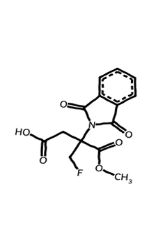 COC(=O)C(CF)(CC(=O)O)N1C(=O)c2ccccc2C1=O